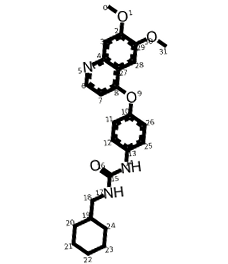 COc1cc2nccc(Oc3ccc(NC(=O)NCC4CCCCC4)cc3)c2cc1OC